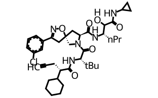 C#CC[C@H](C(=O)N[C@H](C(=O)N1C[C@@]2(CC(c3cccc(Cl)c3)=NO2)C[C@H]1C(=O)N[C@@H](CCC)C(O)C(=O)NC1CC1)C(C)(C)C)C1CCCCC1